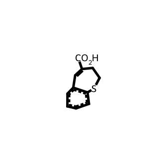 O=C(O)C1=Cc2ccccc2SCC1